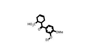 CCOc1cc(C(=O)C2CC=CCC2C(=O)O)ccc1OC